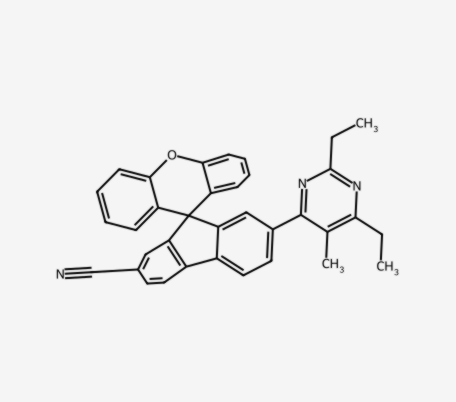 CCc1nc(CC)c(C)c(-c2ccc3c(c2)C2(c4ccccc4Oc4ccccc42)c2cc(C#N)ccc2-3)n1